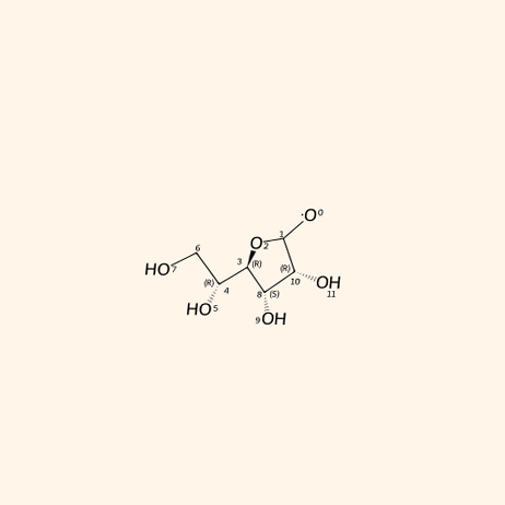 [O]C1O[C@H]([C@H](O)CO)[C@@H](O)[C@H]1O